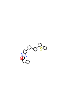 c1cc(-c2cccc(-c3cccc4c3sc3ccccc34)c2)cc(-c2ccc3nc4oc5ccc6ccccc6c5c4nc3c2)c1